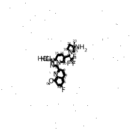 COc1cc(F)cc2ccc(-c3nnc4ccc([C@@H](N5CC[C@](C)(N)C5)C(F)(F)F)cn34)nc12.Cl.Cl